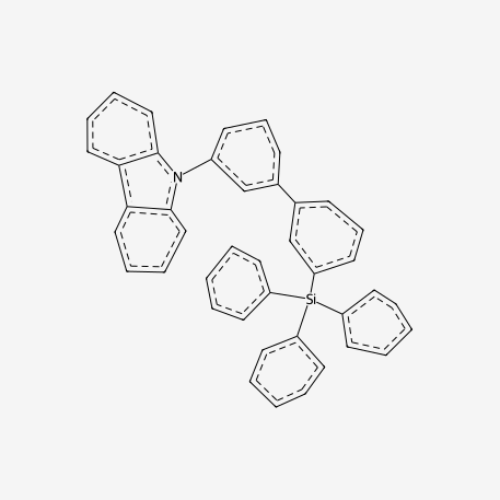 c1ccc([Si](c2ccccc2)(c2ccccc2)c2cccc(-c3cccc(-n4c5ccccc5c5ccccc54)c3)c2)cc1